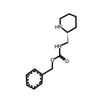 O=C(NC[C@H]1CCCCN1)OCc1ccccc1